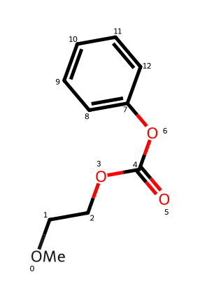 COCCOC(=O)Oc1ccccc1